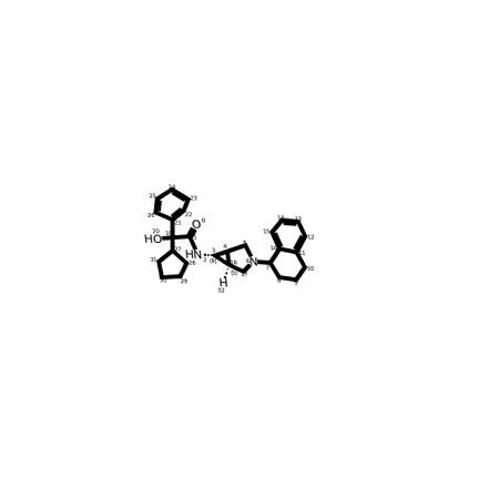 O=C(N[C@@H]1C2CN(C3CCCc4ccccc43)C[C@H]21)C(O)(c1ccccc1)C1CCCC1